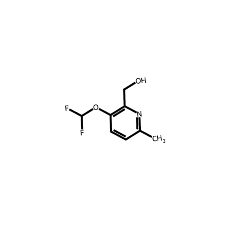 Cc1ccc(OC(F)F)c(CO)n1